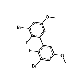 COc1cc(Br)c(I)c(-c2cc(OC)cc(Br)c2I)c1